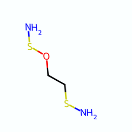 NSCCOSN